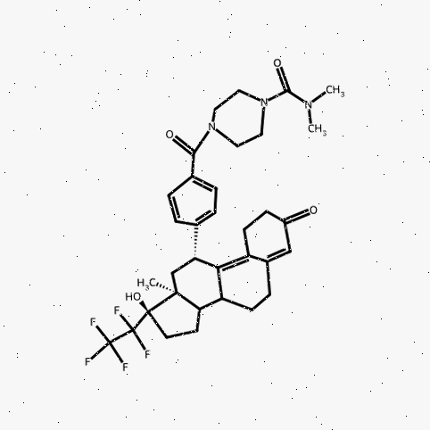 CN(C)C(=O)N1CCN(C(=O)c2ccc([C@H]3C[C@@]4(C)C(CC[C@]4(O)C(F)(F)C(F)(F)F)C4CCC5=CC(=O)CCC5=C43)cc2)CC1